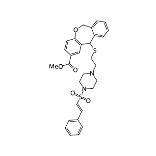 COC(=O)c1ccc2c(c1)C(SCCN1CCN(S(=O)(=O)/C=C/c3ccccc3)CC1)c1ccccc1CO2